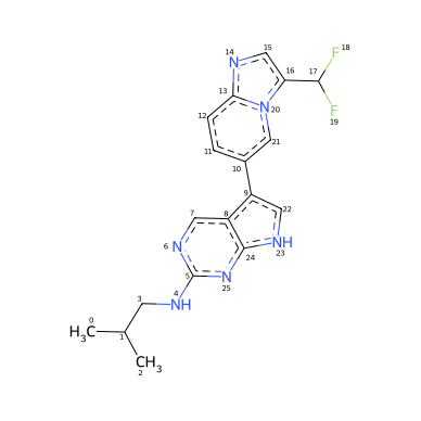 CC(C)CNc1ncc2c(-c3ccc4ncc(C(F)F)n4c3)c[nH]c2n1